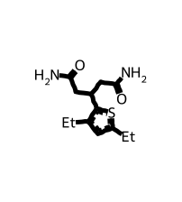 CCc1cc(CC)c(C(CC(N)=O)CC(N)=O)s1